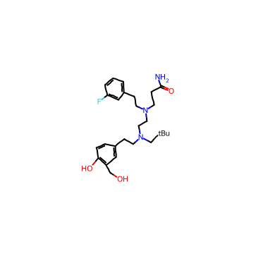 CC(C)(C)CN(CCc1ccc(O)c(CO)c1)CCN(CCC(N)=O)CCc1cccc(F)c1